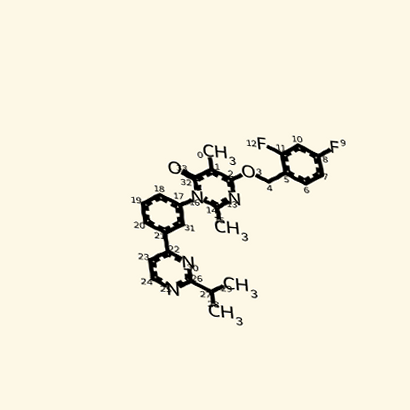 Cc1c(OCc2ccc(F)cc2F)nc(C)n(-c2cccc(-c3ccnc(C(C)C)n3)c2)c1=O